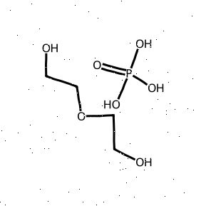 O=P(O)(O)O.OCCOCCO